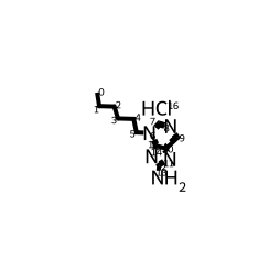 CCCCCCn1cncc2nc(N)nc1-2.Cl